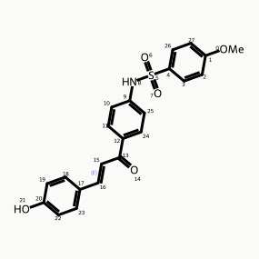 COc1ccc(S(=O)(=O)Nc2ccc(C(=O)/C=C/c3ccc(O)cc3)cc2)cc1